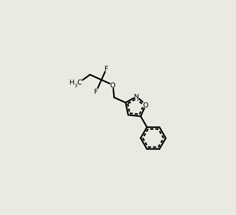 CCC(F)(F)OCc1cc(-c2ccccc2)on1